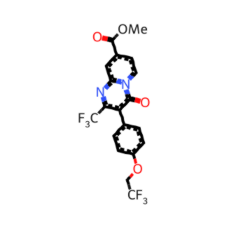 COC(=O)c1ccn2c(=O)c(-c3ccc(OCC(F)(F)F)cc3)c(C(F)(F)F)nc2c1